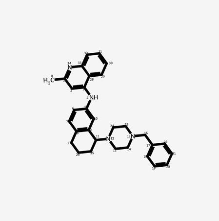 Cc1cc(Nc2ccc3c(c2)C(N2CCN(Cc4ccccc4)CC2)CCC3)c2ccccc2n1